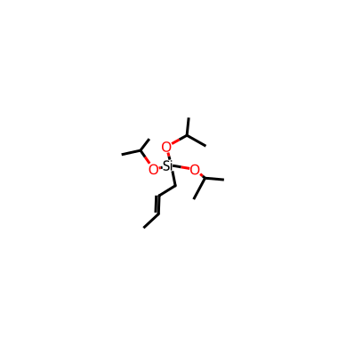 C/C=C/C[Si](OC(C)C)(OC(C)C)OC(C)C